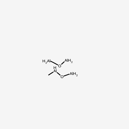 [AlH2][O][AlH2].[CH3][AlH][O][AlH2]